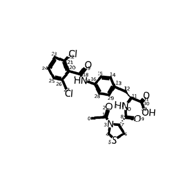 CC(=O)N1CSC[C@H]1C(=O)N[C@@H](Cc1ccc(NC(=O)c2c(Cl)cccc2Cl)cc1)C(=O)O